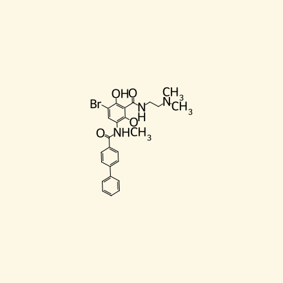 COc1c(NC(=O)c2ccc(-c3ccccc3)cc2)cc(Br)c(O)c1C(=O)NCCN(C)C